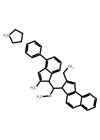 C1CC[SiH2]C1.CCC1=Cc2c(ccc3ccccc23)C1[CH]([Zr][CH3])C1C(C)=Cc2c(-c3ccccc3)cccc21